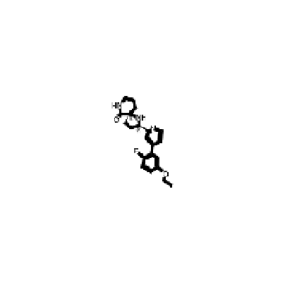 CCOc1ccc(F)c(-c2ccnc([C@H]3CC[C@]4(CCCNC4=O)N3)c2)c1